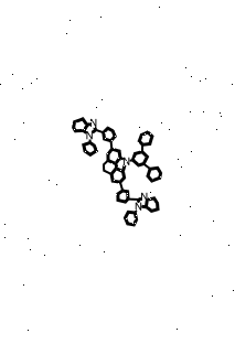 c1ccc(-c2cc(-c3ccccc3)cc(-n3c4cc(-c5cccc(-c6nc7ccccc7n6-c6ccccc6)c5)cc5c4c4c(cc(-c6cccc(-c7nc8ccccc8n7-c7ccccc7)c6)cc43)CC5)c2)cc1